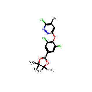 CC(C)c1cc(Oc2c(Cl)cc(B3OC(C)(C)C(C)(C)O3)cc2Cl)nnc1Cl